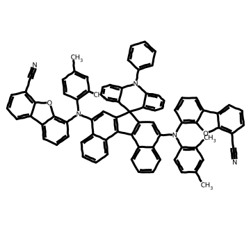 Cc1ccc(N(c2cc3c(c4ccccc24)-c2c(cc(N(c4ccc(C)cc4C)c4cccc5c4oc4c(C#N)cccc45)c4ccccc24)C32c3ccccc3N(c3ccccc3)c3ccccc32)c2cccc3c2oc2c(C#N)cccc23)c(C)c1